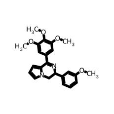 COc1cccc(C2Cn3cccc3C(c3cc(OC)c(OC)c(OC)c3)=N2)c1